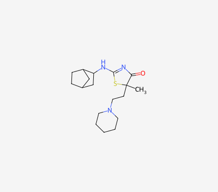 CC1(CCN2CCCCC2)SC(NC2CC3CCC2C3)=NC1=O